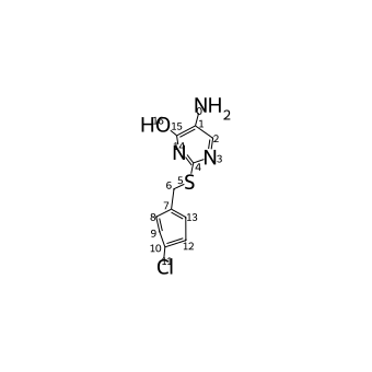 Nc1cnc(SCc2ccc(Cl)cc2)nc1O